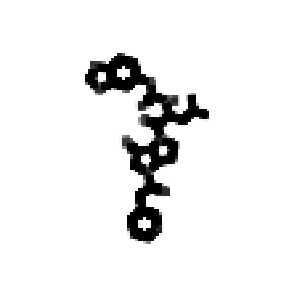 CC(C)CC(NC(=O)Oc1ccc2c(c1)OCO2)C(=O)N1CCC2C1C(=O)CN2C(=O)Cc1cccnc1